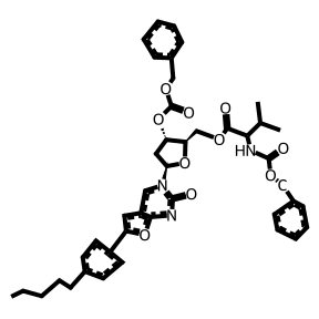 CCCCCc1ccc(-c2cc3cn([C@H]4C[C@H](OC(=O)OCc5ccccc5)[C@@H](COC(=O)C(NC(=O)OCc5ccccc5)C(C)C)O4)c(=O)nc3o2)cc1